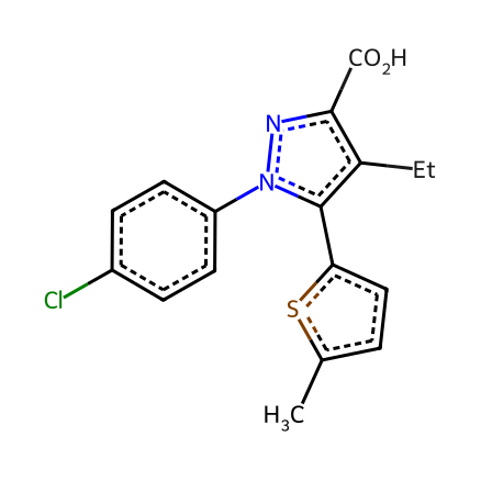 CCc1c(C(=O)O)nn(-c2ccc(Cl)cc2)c1-c1ccc(C)s1